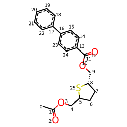 CC(=O)OCC1CC[C@@H](COC(=O)c2ccc(-c3ccccc3)cc2)S1